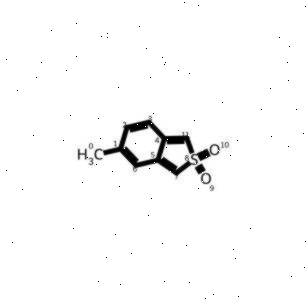 Cc1ccc2c(c1)=CS(=O)(=O)C=2